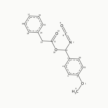 COc1ccc(C(N=C=O)OC(=O)Cc2ccccc2)cc1